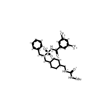 CCCCNC(=O)NCC1CCC(CN(Cc2ccccc2)S(=O)(=O)NC(=O)c2cc(C(F)(F)F)cc(C(F)(F)F)c2)CC1